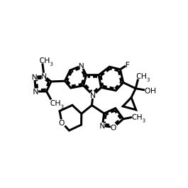 Cc1cc(C(C2CCOCC2)n2c3cc(C(C)(O)C4CC4)c(F)cc3c3ncc(-c4c(C)nnn4C)cc32)no1